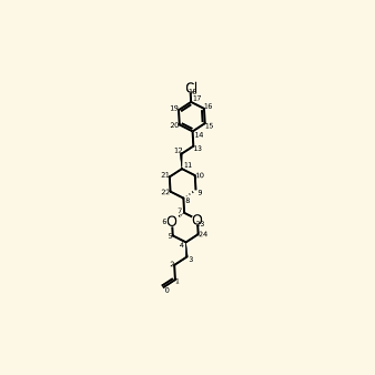 C=CCC[C@H]1CO[C@H]([C@H]2CC[C@H](CCc3ccc(Cl)cc3)CC2)OC1